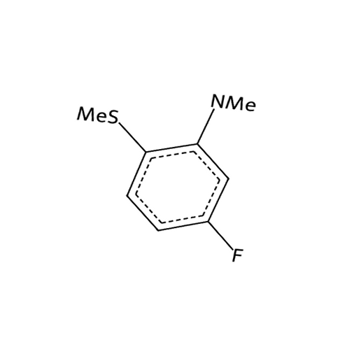 CNc1cc(F)ccc1SC